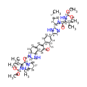 CC[C@H]1C[C@@H](c2ncc(-c3ccc4c(c3)COc3cc5c(ccc6nc([C@@H]7CC[C@H](C)N7C(=O)[C@@H](NC(=O)OC)C(C)C)[nH]c65)cc3-4)[nH]2)N(C(=O)[C@@H](NC(=O)OC)C(C)C)C1